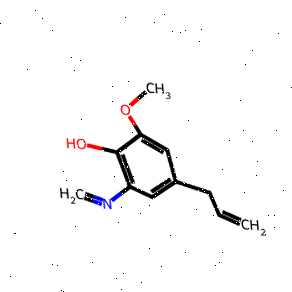 C=CCc1cc(N=C)c(O)c(OC)c1